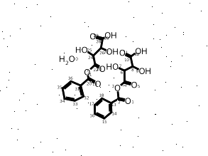 O.O=C(OC(=O)C(O)C(O)C(=O)O)c1ccccc1.O=C(OC(=O)C(O)C(O)C(=O)O)c1ccccc1